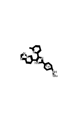 Cc1cccc(-c2nc(C34CCC(NC(C)(C)C)(CC3)CC4)[nH]c2-c2ccc3ncnn3c2)n1